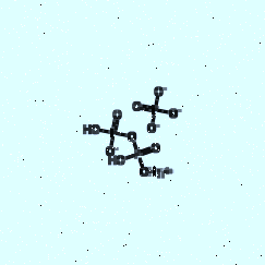 O=P([O-])(O)OP(=O)(O)O.O=P([O-])([O-])[O-].[Ti+4]